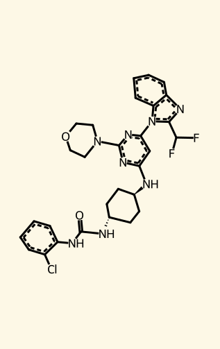 O=C(Nc1ccccc1Cl)N[C@H]1CC[C@H](Nc2cc(-n3c(C(F)F)nc4ccccc43)nc(N3CCOCC3)n2)CC1